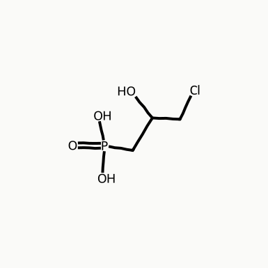 O=P(O)(O)CC(O)CCl